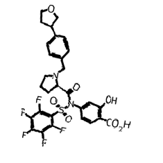 O=C(O)c1ccc(N(C(=O)[C@H]2CCCN2Cc2ccc(C3CCOC3)cc2)S(=O)(=O)c2c(F)c(F)c(F)c(F)c2F)cc1O